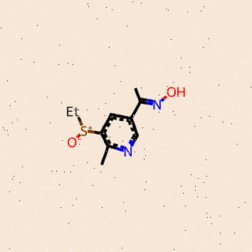 CC[S+]([O-])c1cc(/C(C)=N/O)cnc1C